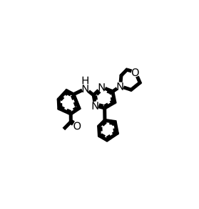 CC(=O)c1cccc(Nc2nc(-c3ccccc3)cc(N3CCOCC3)n2)c1